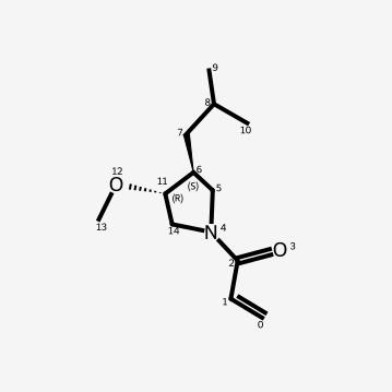 C=CC(=O)N1C[C@H](CC(C)C)[C@@H](OC)C1